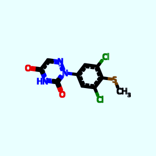 CSc1c(Cl)cc(-n2ncc(=O)[nH]c2=O)cc1Cl